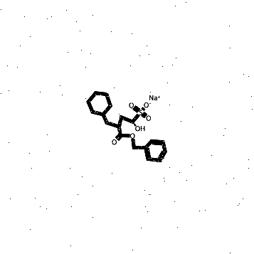 O=C(OCc1ccccc1)C(CC1CCCCC1)C[C@@H](O)S(=O)(=O)[O-].[Na+]